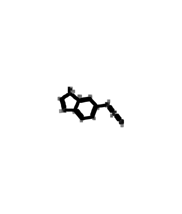 O=C=Nc1ccc2nc[nH]c2c1